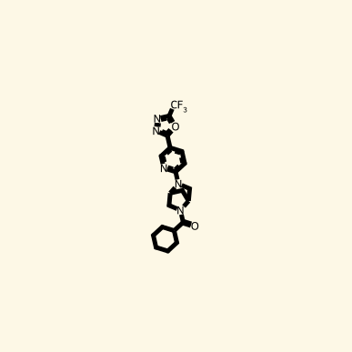 O=C(C1CCCCC1)N1CC2CC1CN2c1ccc(-c2nnc(C(F)(F)F)o2)cn1